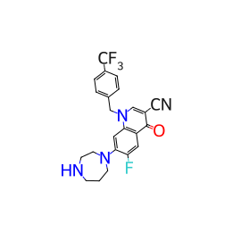 N#Cc1cn(Cc2ccc(C(F)(F)F)cc2)c2cc(N3CCCNCC3)c(F)cc2c1=O